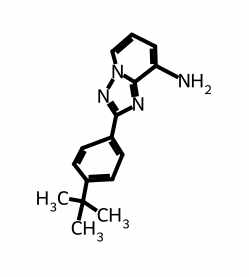 CC(C)(C)c1ccc(-c2nc3c(N)cccn3n2)cc1